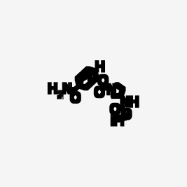 CC(C)OC(=O)N[C@@H]1CCN(C(=O)OC2C3CC4C[C@@H]2C[C@@](C(N)=O)(C4)C3)C1